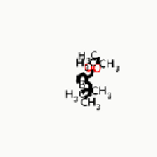 CCCC(C)(CC)Cc1bcccc1CC(=O)OC(C)(C)CC